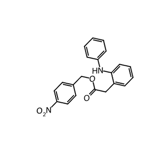 O=C(Cc1ccccc1Nc1ccccc1)OCc1ccc([N+](=O)[O-])cc1